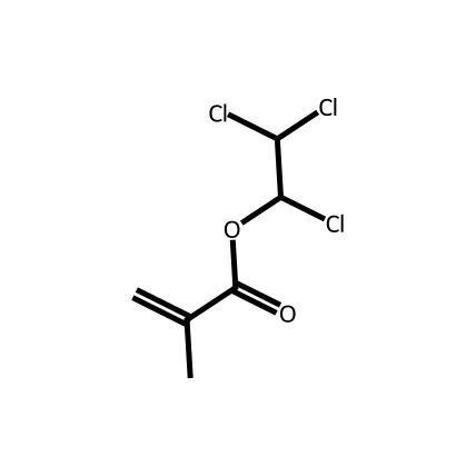 C=C(C)C(=O)OC(Cl)C(Cl)Cl